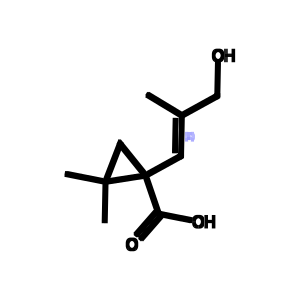 C/C(=C\C1(C(=O)O)CC1(C)C)CO